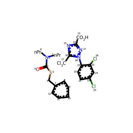 CCCN(CCC)C(=O)SCc1ccccc1.O=C(O)c1nc(C(Cl)(Cl)Cl)n(-c2ccc(Cl)cc2Cl)n1